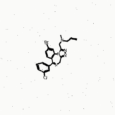 C=CCN(C)Cc1nnc2n1-c1cc(Br)ccc1C(c1cccc(Cl)c1)=NC2